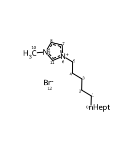 CCCCCCCCCCCC[n+]1ccn(C)c1.[Br-]